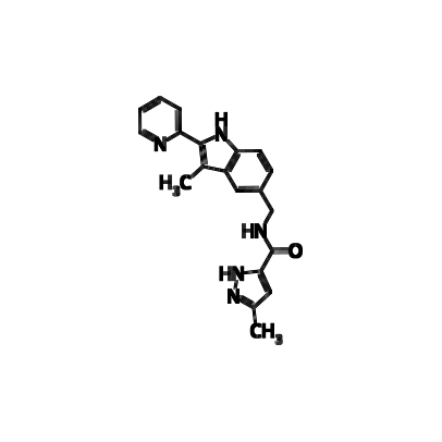 Cc1cc(C(=O)NCc2ccc3[nH]c(-c4ccccn4)c(C)c3c2)[nH]n1